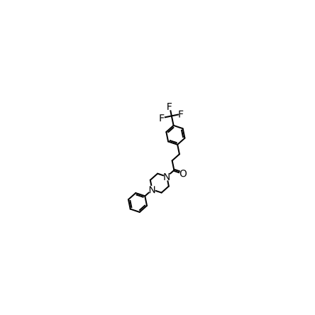 O=C(CCc1ccc(C(F)(F)F)cc1)N1CCN(c2ccccc2)CC1